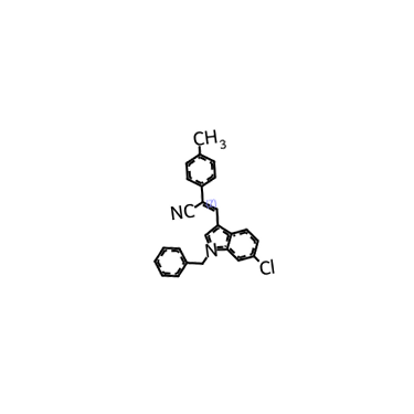 Cc1ccc(/C(C#N)=C/c2cn(Cc3ccccc3)c3cc(Cl)ccc23)cc1